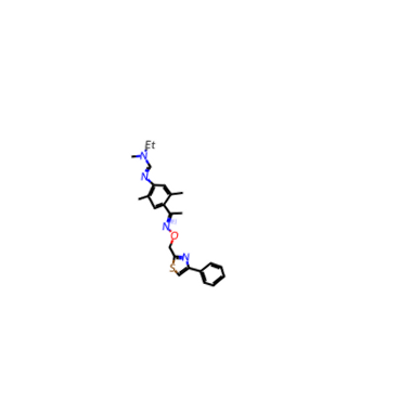 CCN(C)C=Nc1cc(C)c(/C(C)=N/OCc2nc(-c3ccccc3)cs2)cc1C